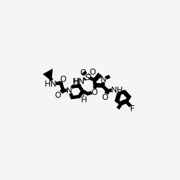 Cc1cc(NC(=O)c2c3c(cn2C)S(=O)(=O)N[C@@H]2CN(C(=O)C(=O)NC4CC4)CC[C@@H]2CO3)ccc1F